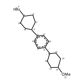 CCCCC1CCC(c2ccc(C3CCC(OC)CC3)cc2)CC1